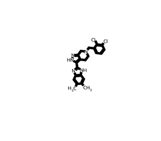 Cc1cc2nc(-c3[nH]nc4c3CCN(Cc3cccc(Cl)c3Cl)C4)[nH]c2cc1C